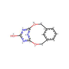 Oc1nc2nc(n1)OCc1cccc(c1)CO2